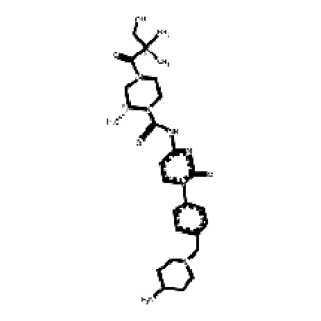 C[C@@H]1CN(C(=O)[C@@](C)(N)CO)CCN1C(=O)Nc1ccn(-c2ccc(CN3CCC(N)CC3)cc2)c(=O)n1